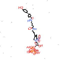 O=C(CCCCCNC(=O)c1ccc(-c2ccc(O)cc2)cc1)NCC#Cc1cc([N+](=O)[O-])n([C@H]2C[C@@H](O)C(COP(=O)(O)OP(=O)(O)OP(=O)(O)O)O2)c1